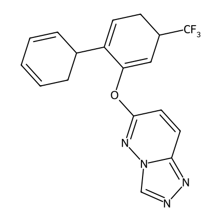 FC(F)(F)C1C=C(Oc2ccc3nncn3n2)C(C2C=CC=CC2)=CC1